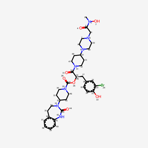 CN(O)C(=O)CN1CCN(C2CCN(C(=O)[C@@H](Cc3ccc(O)c(Br)c3)OC(=O)N3CCC(N4CCc5ccccc5NC4=O)CC3)CC2)CC1